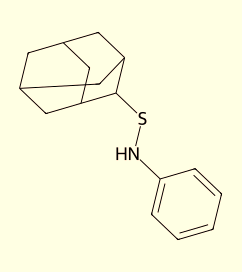 c1ccc(NSC2C3CC4CC(C3)CC2C4)cc1